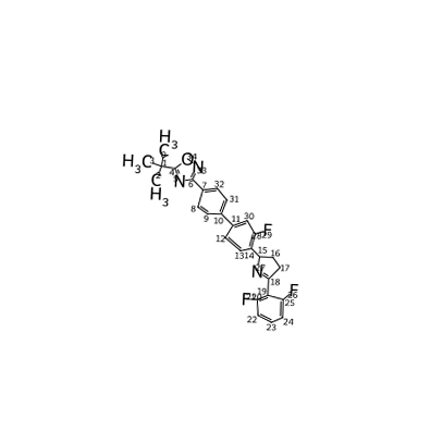 CC(C)(C)c1nc(-c2ccc(-c3ccc(C4CCC(c5c(F)cccc5F)=N4)c(F)c3)cc2)no1